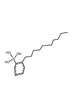 CCCCCCCCCCc1ccccc1[Si](O)(O)O